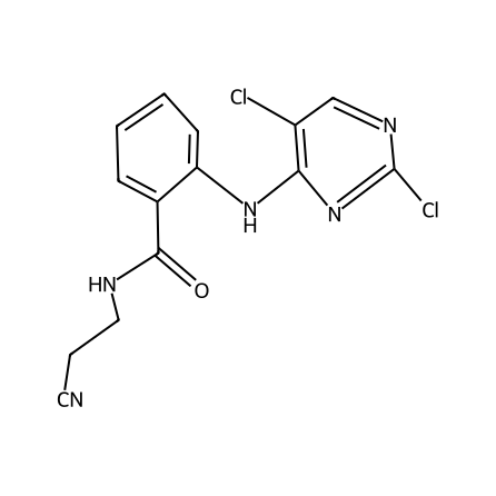 N#CCCNC(=O)c1ccccc1Nc1nc(Cl)ncc1Cl